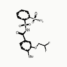 CC(C)(C)c1ccc(C(=O)NS(=O)(=O)c2ccccc2S(N)(=O)=O)cc1OCC(F)F